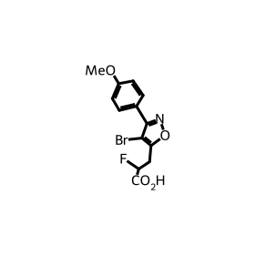 COc1ccc(-c2noc(CC(F)C(=O)O)c2Br)cc1